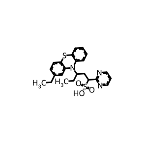 CCc1ccc2c(c1)N(C(CC)CC(c1ncccn1)S(=O)(=O)O)c1ccccc1S2